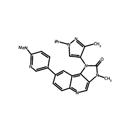 CNc1ccc(-c2ccc3ncc4c(c3c2)n(-c2cn(C(C)C)nc2C)c(=O)n4C)cn1